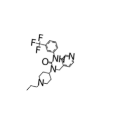 CCCN1CCC(N(Cc2ccncc2)C(=O)Nc2cccc(C(F)(F)F)c2)CC1